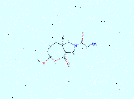 CCOB1CCC[C@H]2CN(C(=O)CN)CC2C(=O)O1